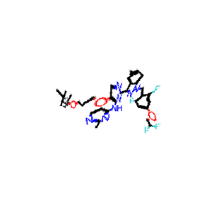 Cc1nccc(Nc2nc(-c3nn(Cc4c(F)cc(OCC(F)F)cc4F)c4ccccc34)ncc2OCCCO[Si](C)(C)C(C)(C)C)n1